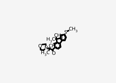 CCSc1ccc2c(c1)C(C)(C)c1cc(C(=O)C(C)(C)N3CCOCC3)ccc1-2